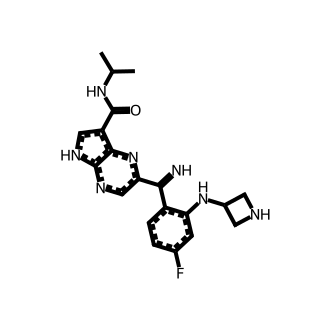 CC(C)NC(=O)c1c[nH]c2ncc(C(=N)c3ccc(F)cc3NC3CNC3)nc12